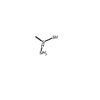 C[SiH]([SiH3])S